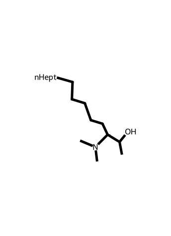 CCCCCCCCCCCC[C](C(C)O)N(C)C